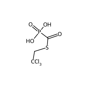 O=C(SCC(Cl)(Cl)Cl)P(=O)(O)O